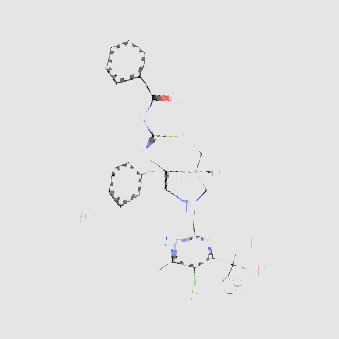 Cc1nc(N2C[C@H]3CSC(NC(=O)c4ccccc4)=N[C@@]3(c3ccccc3)C2)nc(C(C)(C)O)c1F.Cl